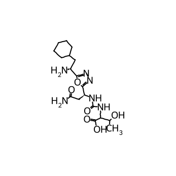 CC(O)C(NC(=O)N[C@@H](CC(N)=O)c1nnc([C@@H](N)CC2CCCCC2)o1)C(=O)O